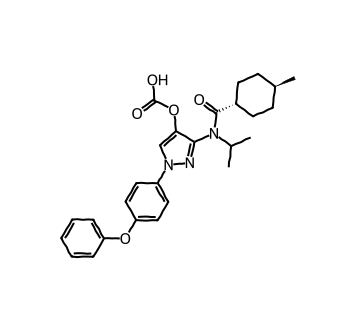 CC(C)N(c1nn(-c2ccc(Oc3ccccc3)cc2)cc1OC(=O)O)C(=O)[C@H]1CC[C@H](C)CC1